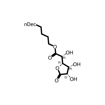 CCCCCCCCCCCCCCOC(=O)[C@H](O)[C@H]1OC(=O)[C@@H](O)[C@H]1O